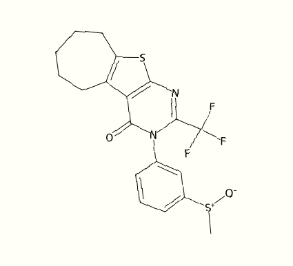 C[S+]([O-])c1cccc(-n2c(C(F)(F)F)nc3sc4c(c3c2=O)CCCCC4)c1